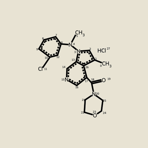 Cc1cn(N(C)c2cccc(Cl)c2)c2cncc(C(=O)N3CCOCC3)c12.Cl